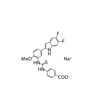 COc1ccc(-c2cc3cc(F)c(F)cc3[nH]2)cc1NC(=S)Nc1ccc(C(=O)[O-])cc1.[Na+]